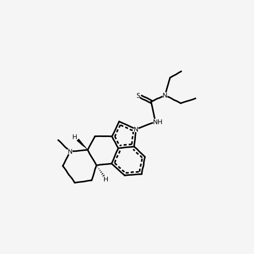 CCN(CC)C(=S)Nn1cc2c3c(cccc31)[C@H]1CCCN(C)[C@@H]1C2